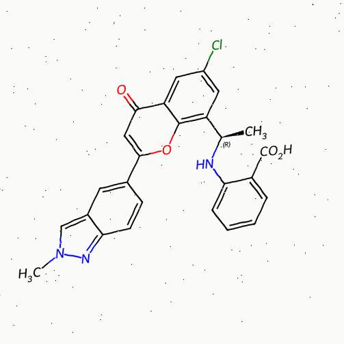 C[C@@H](Nc1ccccc1C(=O)O)c1cc(Cl)cc2c(=O)cc(-c3ccc4nn(C)cc4c3)oc12